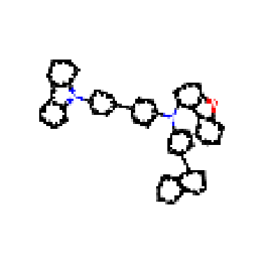 c1ccc2c(-c3ccc(N(c4ccc(-c5ccc(-n6c7ccccc7c7ccccc76)cc5)cc4)c4cccc5oc6ccccc6c45)cc3)cccc2c1